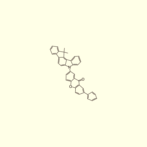 CC1(C)c2ccccc2-c2ccc3c(c21)c1ccccc1n3-c1ccc2oc3ccc(-c4ccccc4)cc3c(=O)c2c1